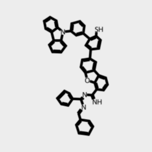 N=C(/N=C(\N=C\c1ccccc1)c1ccccc1)c1cccc2c1oc1ccc(-c3ccc(S)c(-c4cccc(-n5c6ccccc6c6ccccc65)c4)c3)cc12